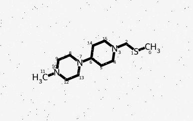 CSCN1CCC(N2CCN(C)CC2)CC1